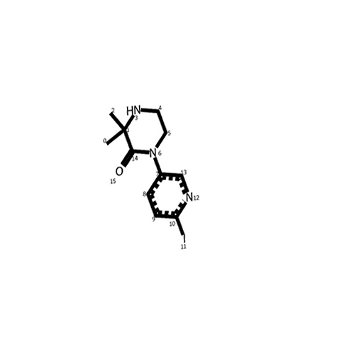 CC1(C)NCCN(c2ccc(I)nc2)C1=O